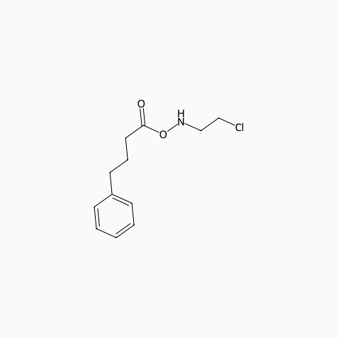 O=C(CCCc1ccccc1)ONCCCl